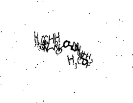 CC(C)(C)ON(C=O)CCCNC(=O)c1cccc(-c2ccc(NCC(C)(C)c3ccc(F)cc3)nn2)c1